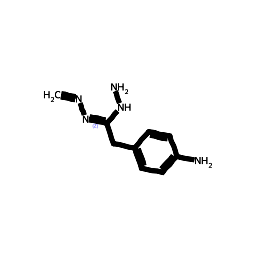 C=N/N=C(/Cc1ccc(N)cc1)NN